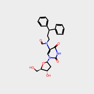 O=CN(CCC(c1ccccc1)c1ccccc1)c1cn([C@H]2C[C@H](O)[C@@H](CO)O2)c(=O)[nH]c1=O